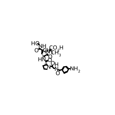 CC(C[C@@H](NC(=O)[C@@H]1CCCN1C(=O)CNC(=O)c1ccc(N)cc1)C(=O)N[C@H](C)C(=O)O)C(=O)NO